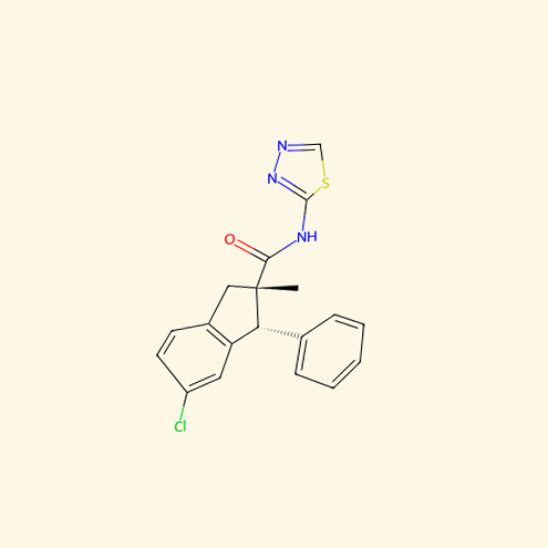 C[C@]1(C(=O)Nc2nncs2)Cc2ccc(Cl)cc2[C@H]1c1ccccc1